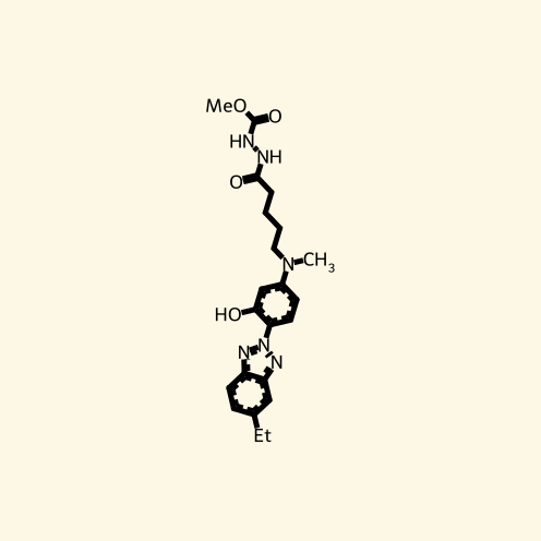 CCc1ccc2nn(-c3ccc(N(C)CCCCC(=O)NNC(=O)OC)cc3O)nc2c1